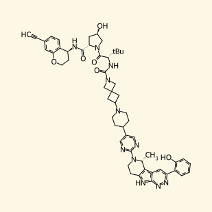 C#Cc1ccc2c(c1)OCC[C@@H]2NC(=O)[C@@H]1C[C@@H](O)CN1C(=O)[C@@H](NC(=O)N1CC2(CC(N3CCC(c4cnc(N5CCc6[nH]c7nnc(-c8ccccc8O)cc7c6[C@H]5C)nc4)CC3)C2)C1)C(C)(C)C